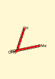 COCCOCCOCCOCCOCCOCCOCCOCCOCCOCCOCCOCCN(CCCOCCOCCOCCOCCOCCOCCOCCOCCOCCOCCOCCO)c1ccc(C=O)c(O)c1